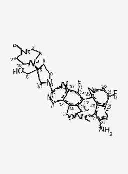 CN1CCN(C2(CO)CCN(c3ncc4c5c(c(-c6ncc(F)c7sc(N)c(C#N)c67)c(F)c4n3)COC5)C2)CC1